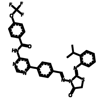 CC(C)c1ccccc1/N=C1\SCC(=O)N1N=Cc1ccc(-c2cc(NC(=O)c3ccc(OC(F)(F)F)cc3)ncn2)cc1